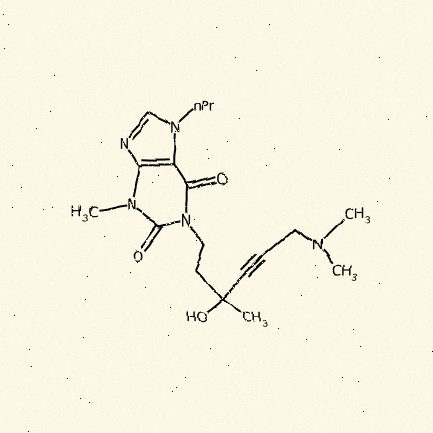 CCCn1cnc2c1c(=O)n(CCC(C)(O)C#CCN(C)C)c(=O)n2C